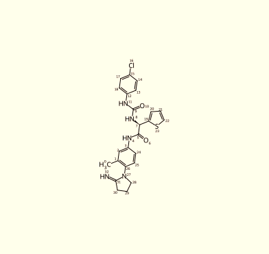 Cc1cc(NC(=O)[C@@H](NC(=O)Nc2ccc(Cl)cc2)c2cccs2)ccc1N1CCCC1=N